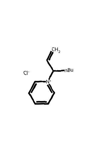 C=CC(CCCC)[n+]1ccccc1.[Cl-]